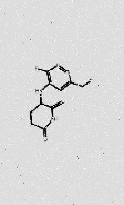 O=C1CCC(Nc2cc(CCl)nnc2F)C(=O)N1